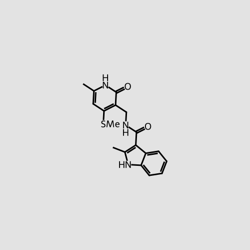 CSc1cc(C)[nH]c(=O)c1CNC(=O)c1c(C)[nH]c2ccccc12